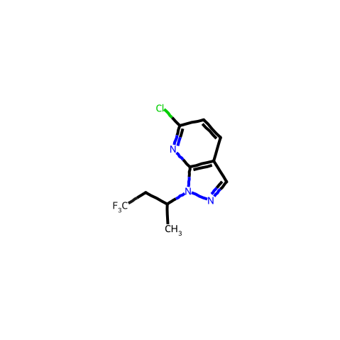 CC(CC(F)(F)F)n1ncc2ccc(Cl)nc21